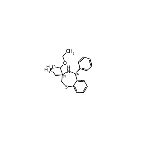 CCOC(C)[C@@]1(CC)CSc2ccccc2[C@H](c2ccccc2)N1